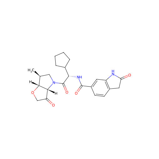 C[C@H]1CN(C(=O)[C@@H](NC(=O)c2ccc3c(c2)NC(=O)C3)C2CCCC2)[C@@H]2C(=O)CO[C@@H]21